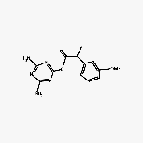 COc1cccc(C(C)C(=O)Oc2nc(N)nc(N)n2)c1